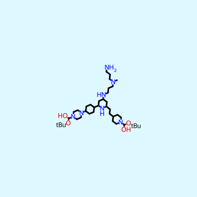 CN(CCCN)CCCNC1CC(CCC2CCN(C(O)OC(C)(C)C)CC2)NC(C2CCC(N3CCN(C(O)OC(C)(C)C)CC3)CC2)C1